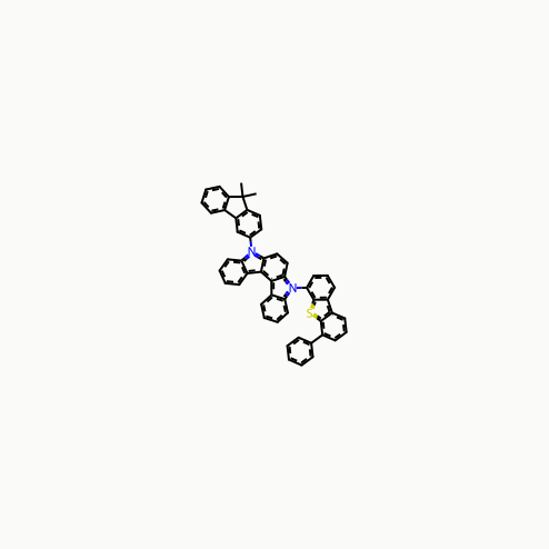 CC1(C)c2ccccc2-c2cc(-n3c4ccccc4c4c5c6ccccc6n(-c6cccc7c6sc6c(-c8ccccc8)cccc67)c5ccc43)ccc21